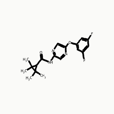 CC1(C)C(C(=O)Nc2cnc(Oc3cc(F)cc(F)c3)cn2)C1(C)C